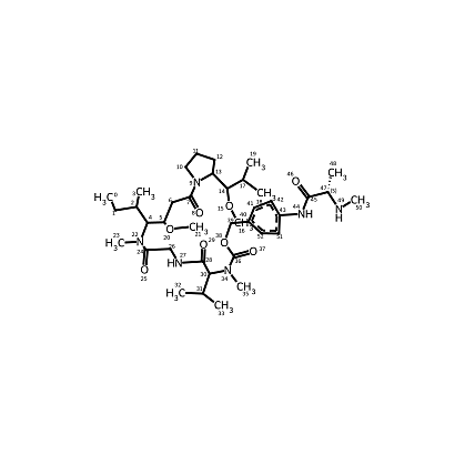 CCC(C)C(C(CC(=O)N1CCCC1C(OC)C(C)C)OC)N(C)C(=O)CNC(=O)C(C(C)C)N(C)C(=O)OCc1ccc(NC(=O)[C@H](C)NC)cc1